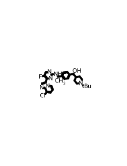 C[C@H](Nc1ncc(F)c(-c2cnc3c(Cl)cccn23)n1)c1ccc(C(O)C2CCN(C(C)(C)C)CC2)cc1